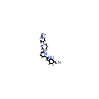 CC(C)N1CCC(N2CCCN(c3cccc(-c4cc5ccc(C#N)cc5[nH]4)n3)CC2)CC1